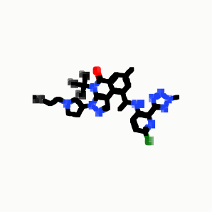 [2H]C([2H])([2H])n1c(=O)c2cc(C)cc(C(C)Nc3ccc(Cl)nc3-c3nnn(C)n3)c2c2cnn(C3CCN(CCC#N)C3)c21